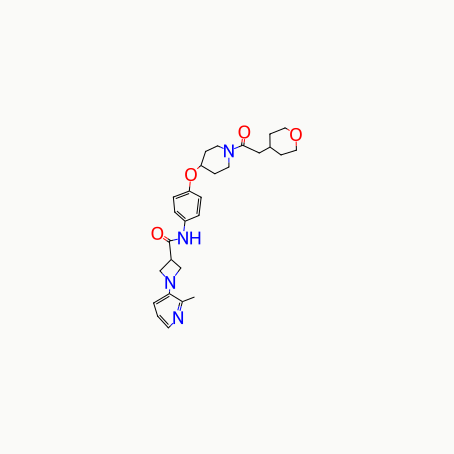 Cc1ncccc1N1CC(C(=O)Nc2ccc(OC3CCN(C(=O)CC4CCOCC4)CC3)cc2)C1